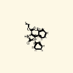 CCOC(=O)c1[nH]c(=O)n(-c2ccccc2)c1-c1ccccc1Cl